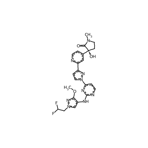 COc1nn(CC(F)F)cc1Nc1nccc(-n2ccc(-c3cc([C@@]4(O)CCN(C)C4=O)ccn3)n2)n1